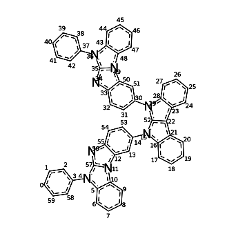 c1ccc(-n2c3ccccc3n3c4cc(-n5c6ccccc6c6c7ccccc7n(-c7ccc8nc9n(-c%10ccccc%10)c%10ccccc%10n9c8c7)c65)ccc4nc23)cc1